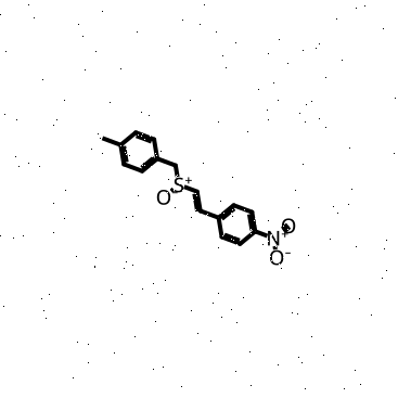 Cc1ccc(C[S+]([O-])C=Cc2ccc([N+](=O)[O-])cc2)cc1